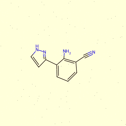 N#Cc1cccc(-c2cc[nH]n2)c1N